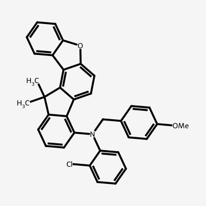 COc1ccc(CN(c2ccccc2Cl)c2cccc3c2-c2ccc4oc5ccccc5c4c2C3(C)C)cc1